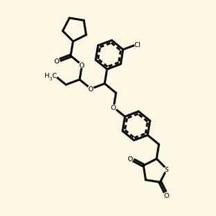 CCC(OC(=O)C1CCCC1)OC(COc1ccc(CC2SC(=O)CC2=O)cc1)c1cccc(Cl)c1